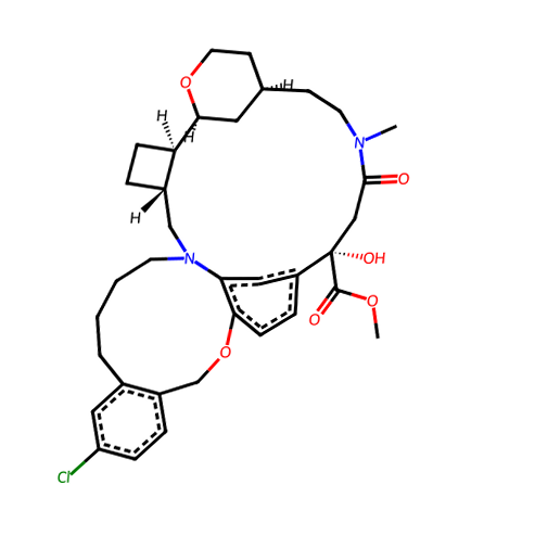 COC(=O)[C@]1(O)CC(=O)N(C)CC[C@@H]2CCO[C@@H](C2)[C@@H]2CC[C@H]2CN2CCCCc3cc(Cl)ccc3COc3ccc1cc32